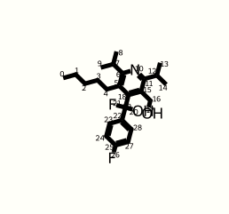 CCCCCc1c(C(C)C)nc(C(C)C)c(CO)c1C(O)(F)c1ccc(F)cc1